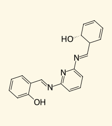 Oc1ccccc1/C=N/c1cccc(/N=C/C2C=CC=C[C@H]2O)n1